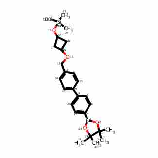 CC1(C)OB(c2ccc(-c3ccc(COC4CC(O[Si](C)(C)C(C)(C)C)C4)cc3)cc2)OC1(C)C